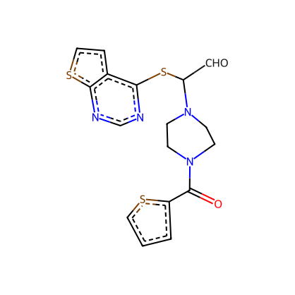 O=CC(Sc1ncnc2sccc12)N1CCN(C(=O)c2cccs2)CC1